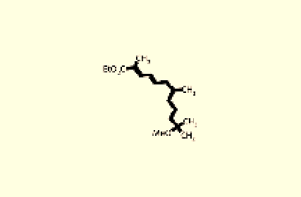 CCOC(=O)/C(C)=C/C=C/CC(C)CCCC(C)(C)OC